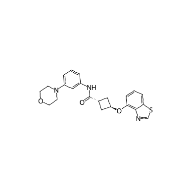 O=C(Nc1cccc(N2CCOCC2)c1)[C@H]1C[C@H](Oc2cccc3scnc23)C1